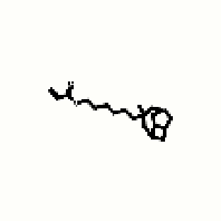 C=CC(=O)OCCCCCCC1(C)CC2CC3CC(C1)C3C2